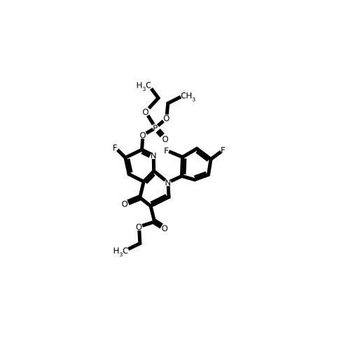 CCOC(=O)c1cn(-c2ccc(F)cc2F)c2nc(OP(=O)(OCC)OCC)c(F)cc2c1=O